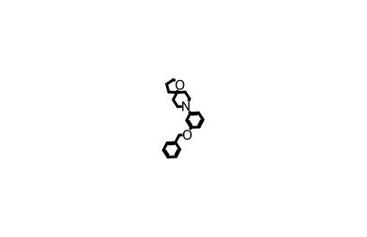 c1ccc(COc2cccc(N3CCC4(CCCO4)CC3)c2)cc1